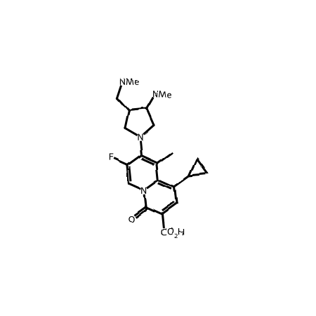 CNCC1CN(c2c(F)cn3c(=O)c(C(=O)O)cc(C4CC4)c3c2C)CC1NC